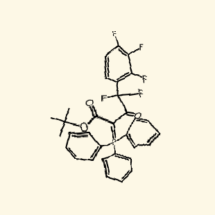 CC(C)(C)OC(=O)C(C(=O)C(F)(F)c1ccc(F)c(F)c1F)=P(c1ccccc1)(c1ccccc1)c1ccccc1